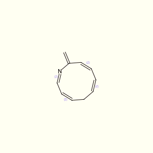 C=C1/C=C\C=C/C/C=C\C=N/1